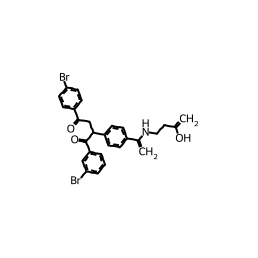 C=C(O)CCNC(=C)c1ccc(C(CC(=O)c2ccc(Br)cc2)C(=O)c2cccc(Br)c2)cc1